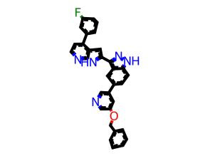 Fc1cccc(-c2ccnc3[nH]c(-c4n[nH]c5ccc(-c6cncc(OCc7ccccc7)c6)cc45)cc23)c1